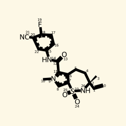 C=C[C@@]1(C)CCc2c(cn(C)c2C(=O)Nc2ccc(F)c(C#N)c2)S(=O)(=O)N1